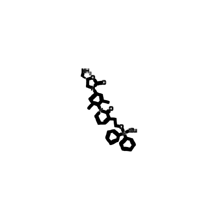 Cc1cc(N2C[C@H](CN)OC2=O)cc(C)c1-n1cccc(CCO[Si](c2ccccc2)(c2ccccc2)C(C)(C)C)c1=O